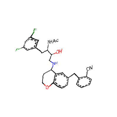 CC(=O)NC(Cc1cc(F)cc(F)c1)C(O)CNC1CCOc2ccc(Cc3ccccc3C#N)cc21